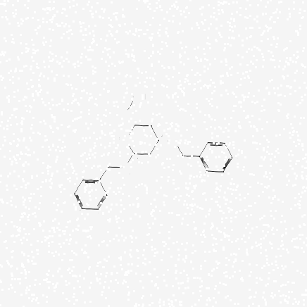 OC[C@@H]1C[C@H](OCc2ccccc2)CC(OCc2ccccc2)O1